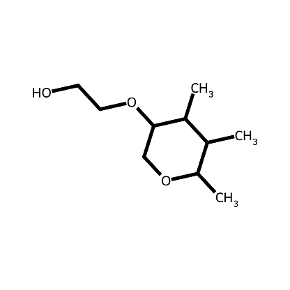 CC1OCC(OCCO)C(C)C1C